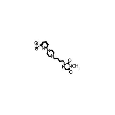 Cn1c(=O)cnn(CCCCN2CCN(c3cccc([N+](=O)[O-])n3)CC2)c1=O